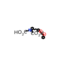 O=C(O)CCCn1cc(CC(=O)O)c2c(C=Cc3ccc(OCCCC(=O)c4ccccc4)cc3)cccc21